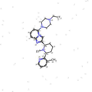 CCN1[C@@H](c2cn3c(N4CCN(CC(F)(F)F)CC4)cccc3n2)CCC[C@H]1c1ncccc1C